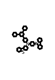 c1ccc(-c2cc(-c3ccccc3)cc(-c3ccc(N(c4ccc(-n5c6ccccc6c6ccccc65)cc4)c4ccc5sc6ccccc6c5c4)cc3)c2)cc1